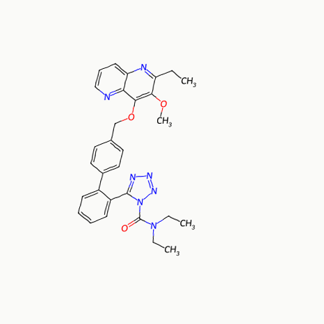 CCc1nc2cccnc2c(OCc2ccc(-c3ccccc3-c3nnnn3C(=O)N(CC)CC)cc2)c1OC